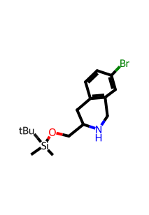 CC(C)(C)[Si](C)(C)OCC1Cc2ccc(Br)cc2CN1